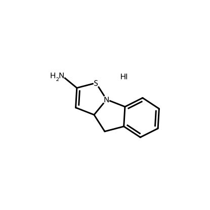 I.NC1=CC2Cc3ccccc3N2S1